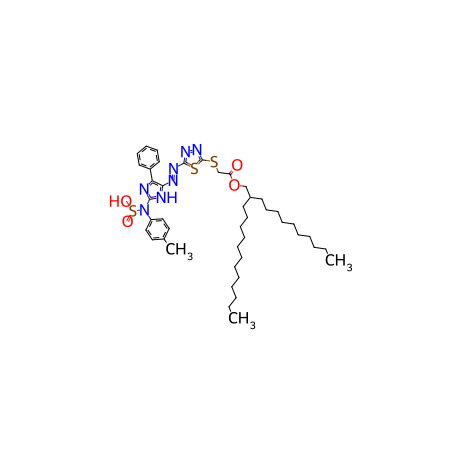 CCCCCCCCCCCCC(CCCCCCCCCC)COC(=O)CSc1nnc(/N=N/c2[nH]c(N(c3ccc(C)cc3)S(=O)O)nc2-c2ccccc2)s1